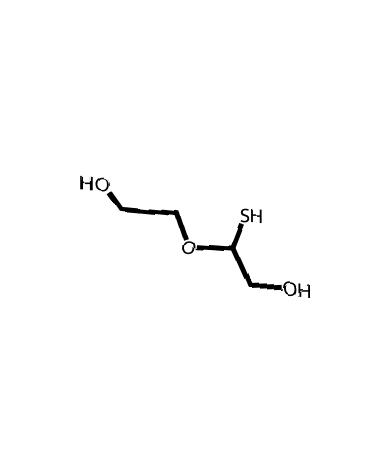 OCCOC(S)CO